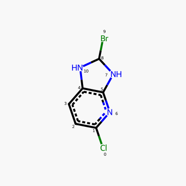 Clc1ccc2c(n1)NC(Br)N2